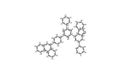 c1ccc(-c2cc(-c3nc(-c4ccccc4)nc(-c4ccc(-c5cc6ccccc6c6ccccc56)cc4)n3)c3c(c2)oc2ccccc23)cc1